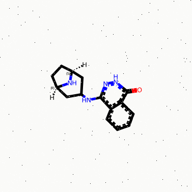 O=c1[nH]nc(NC2C[C@H]3CC[C@@H](C2)N3)c2ccccc12